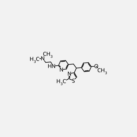 COc1ccc(C(Cc2ccc(NCCN(C)C)nc2)c2csc(C)n2)cc1